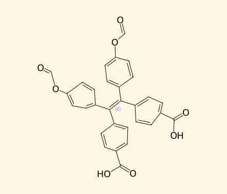 O=COc1ccc(/C(=C(\c2ccc(OC=O)cc2)c2ccc(C(=O)O)cc2)c2ccc(C(=O)O)cc2)cc1